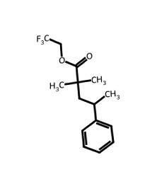 CC(CC(C)(C)C(=O)OCC(F)(F)F)c1ccccc1